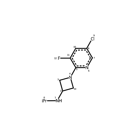 CC(C)NC1CN(c2ncc(Cl)cc2F)C1